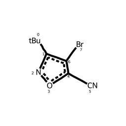 CC(C)(C)c1noc(C#N)c1Br